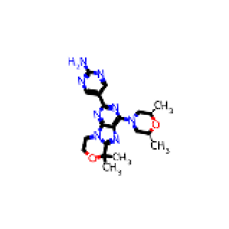 C[C@@H]1CN(c2nc(-c3cnc(N)nc3)nc3c2nc2n3CCOC2(C)C)C[C@H](C)O1